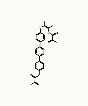 C=C(C)C(=O)OC(C)=C(C)Oc1ccc(-c2ccc(-c3ccc(OC(=O)C(=C)C)cc3)cc2)cc1